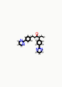 [CH2]CC(C(=O)CCc1ccc(-c2ncccn2)cc1)c1ccc(-c2ncccn2)cc1